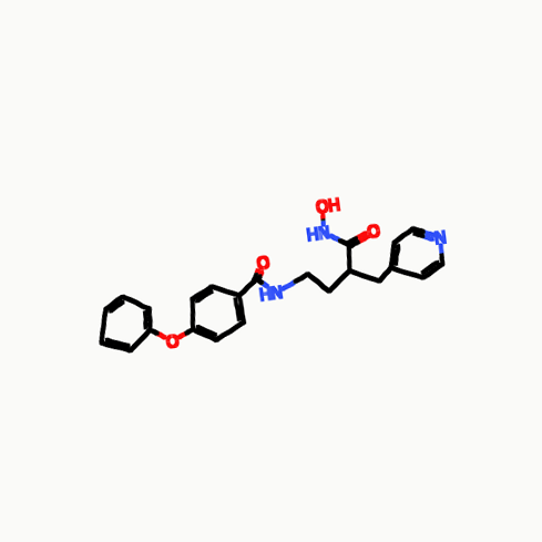 O=C(NCCC(Cc1ccncc1)C(=O)NO)c1ccc(Oc2ccccc2)cc1